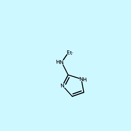 C[CH]Nc1ncc[nH]1